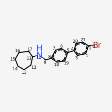 Brc1ccc(-c2ccc(CNC3CCCCCC3)cc2)cc1